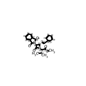 COC(=O)[C@H](C(C)C)N1C(=O)[C@H](N2C(=O)c3ccccc3C2=O)[C@@H]1C=Cc1ccccc1